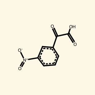 O=C(O)C(=O)c1cccc([N+](=O)[O-])c1